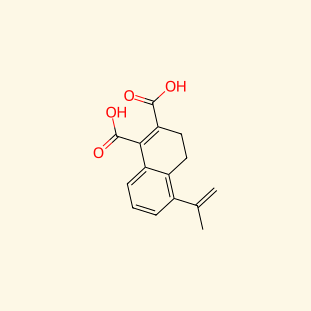 C=C(C)c1cccc2c1CCC(C(=O)O)=C2C(=O)O